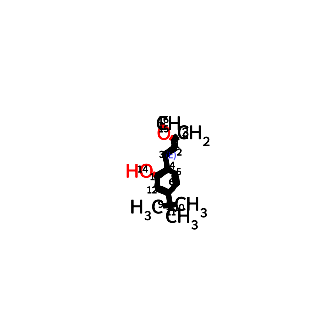 C=C(/C=C/c1ccc(C(C)(C)C)cc1O)OC